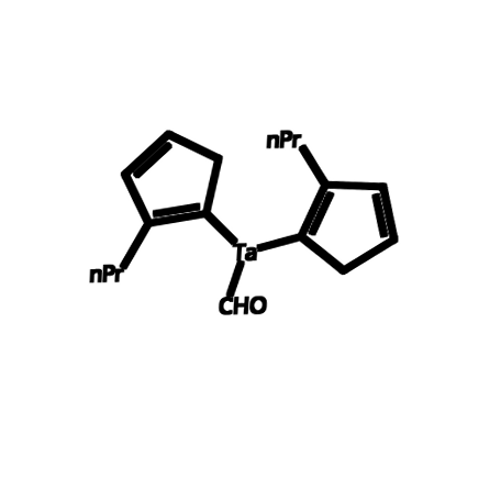 CCCC1=[C]([Ta]([CH]=O)[C]2=C(CCC)C=CC2)CC=C1